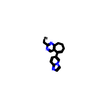 CC(C)Cc1ncc2c(n1)CCCC=C2c1ccc2nccn2c1